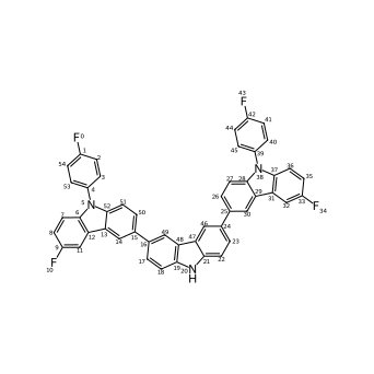 Fc1ccc(-n2c3ccc(F)cc3c3cc(-c4ccc5[nH]c6ccc(-c7ccc8c(c7)c7cc(F)ccc7n8-c7ccc(F)cc7)cc6c5c4)ccc32)cc1